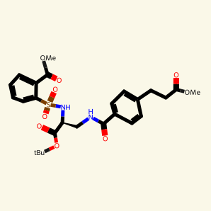 COC(=O)CCc1ccc(C(=O)NC[C@H](NS(=O)(=O)c2ccccc2C(=O)OC)C(=O)OC(C)(C)C)cc1